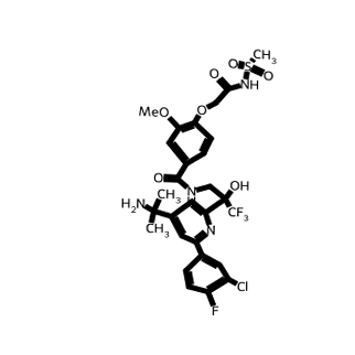 COc1cc(C(=O)NCC(O)(c2cc(C(C)(C)N)cc(-c3ccc(F)c(Cl)c3)n2)C(F)(F)F)ccc1OCC(=O)NS(C)(=O)=O